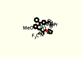 COc1ccc2c(c1)C=C(c1c(C(=O)N3CC4CCC(C3)N4C)cnn1CC(F)(F)F)Cn1c-2c(C2CCCCC2)c2ccc(C(=O)NS(=O)(=O)C(C)C)cc21